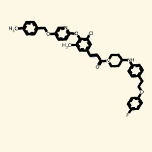 Cc1ccc(COc2ccc(Oc3c(C)cc(/C=C/C(=O)N4CCC(Nc5ccc(CCOc6ccc(F)cc6)cc5)CC4)cc3Cl)nc2)cc1